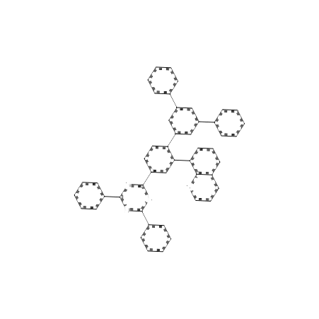 c1ccc(-c2cc(-c3ccccc3)cc(-c3ccc(-c4nc(-c5ccccc5)nc(-c5ccccc5)n4)cc3-c3cccc4cccnc34)c2)cc1